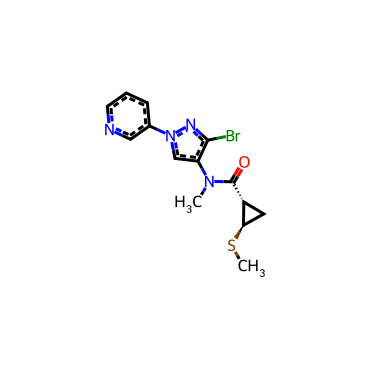 CS[C@@H]1C[C@H]1C(=O)N(C)c1cn(-c2cccnc2)nc1Br